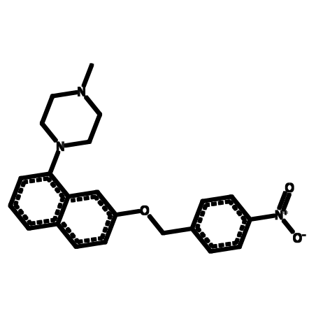 CN1CCN(c2cccc3ccc(OCc4ccc([N+](=O)[O-])cc4)cc23)CC1